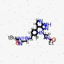 CCC(=O)N1CC(Nc2n[nH]c3nccc(-c4ccc(CNCc5noc(C(C)(C)C)n5)c(F)c4)c23)C1